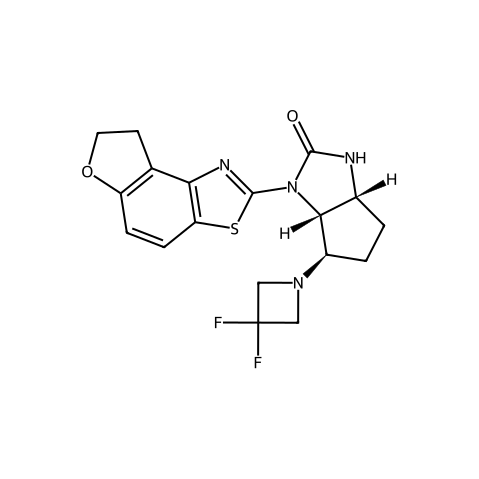 O=C1N[C@@H]2CC[C@@H](N3CC(F)(F)C3)[C@@H]2N1c1nc2c3c(ccc2s1)OCC3